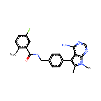 COc1ccc(F)cc1C(=O)NCc1ccc(-c2c(C)n(C(C)C)c3ncnc(N)c23)cc1